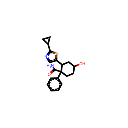 NC(=O)C1(c2ccccc2)CCC(O)CC1c1cnc(C2CC2)s1